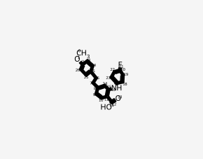 COc1ccc(CCc2ccc(C(=O)O)c(Nc3ccc(F)cc3)c2)cc1